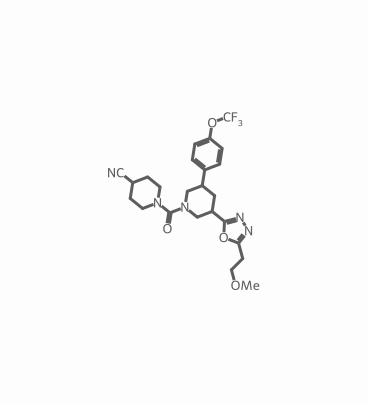 COCCc1nnc(C2CC(c3ccc(OC(F)(F)F)cc3)CN(C(=O)N3CCC(C#N)CC3)C2)o1